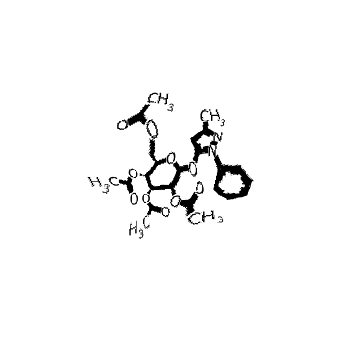 CC(=O)OC[C@H]1OC(Oc2cc(C)nn2-c2ccccc2)[C@@H](OC(C)=O)[C@@H](OC(C)=O)[C@@H]1OC(C)=O